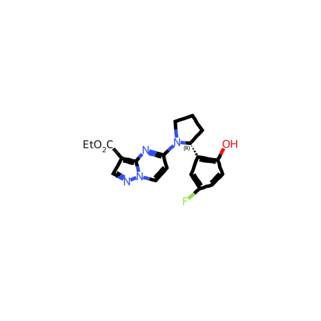 CCOC(=O)c1cnn2ccc(N3CCC[C@@H]3c3cc(F)ccc3O)nc12